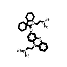 CCN(CC)CCN1c2ccccc2Sc2ccccc21.CCN(CC)CCOC(=O)C1(C2CCCCC2)CCCCC1